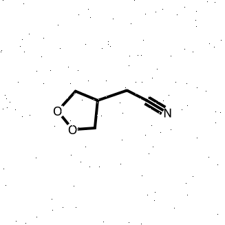 N#CCC1COOC1